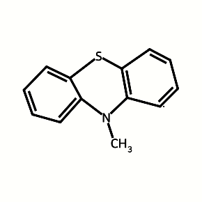 CN1c2[c]cccc2Sc2ccccc21